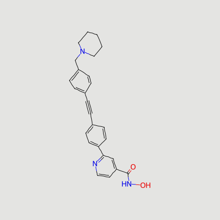 O=C(NO)c1ccnc(-c2ccc(C#Cc3ccc(CN4CCCCC4)cc3)cc2)c1